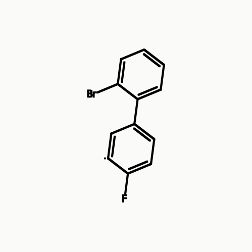 Fc1[c]cc(-c2ccccc2Br)cc1